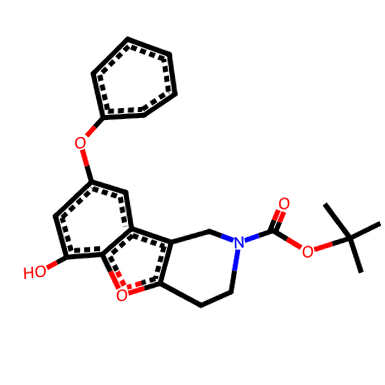 CC(C)(C)OC(=O)N1CCc2oc3c(O)cc(Oc4ccccc4)cc3c2C1